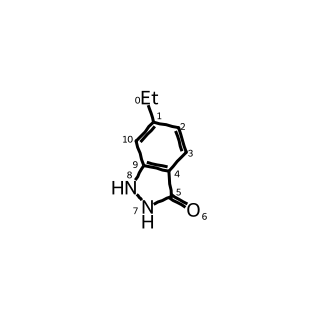 CCc1ccc2c(=O)[nH][nH]c2c1